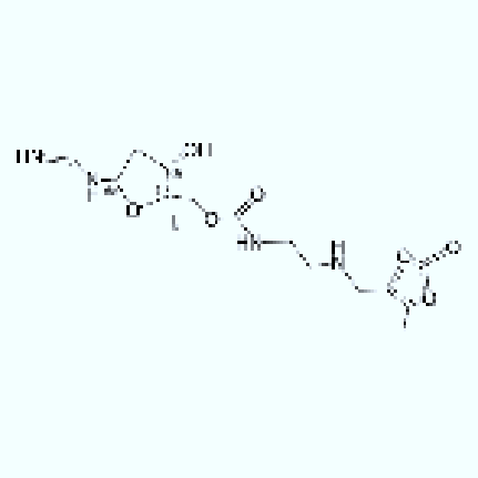 Cc1oc(=O)oc1CNCCNC(=O)OC[C@@]1(C)O[C@@H](NC=N)C[C@@H]1O